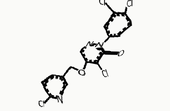 O=c1c(Cl)c(OCc2ccc(Cl)nc2)cnn1-c1ccc(Cl)c(Cl)c1